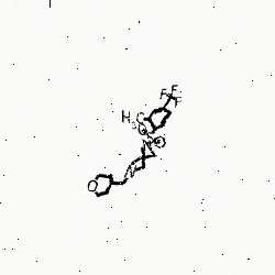 Cc1cc(C(F)(F)F)ccc1S(=O)(=O)N1CC2(CN(CC3CCOCC3)C2)C1